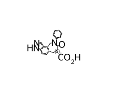 O=C(O)C[C@@H]1Cc2ccc3[nH]ncc3c2CN(c2ccccc2)C1=O